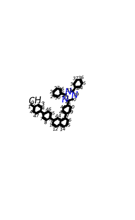 CCc1ccc(-c2ccc(-c3ccc4cccc(-c5ccc(C6=NC(c7ccccc7)=NC(c7ccccc7)=NC6)cc5)c4c3)cc2)cc1